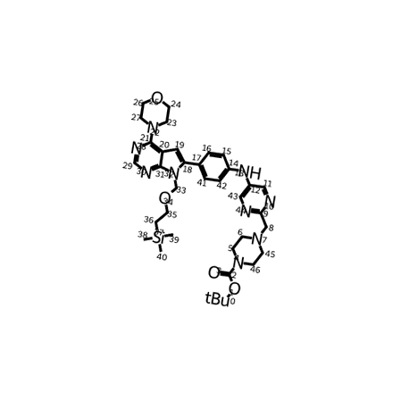 CC(C)(C)OC(=O)N1CCN(Cc2ncc(Nc3ccc(-c4cc5c(N6CCOCC6)ncnc5n4COCC[Si](C)(C)C)cc3)cn2)CC1